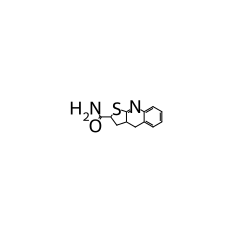 NC(=O)C1CC2Cc3ccccc3N=C2S1